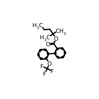 CCCC(C)(C)OC(=O)c1ccccc1-c1ccccc1OC(F)(F)F